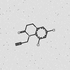 C#CCN1C(=O)CCc2cc(Cl)cc(Cl)c21